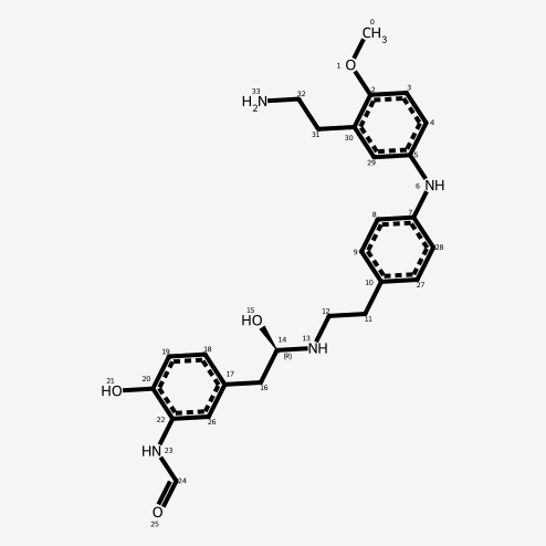 COc1ccc(Nc2ccc(CCN[C@H](O)Cc3ccc(O)c(NC=O)c3)cc2)cc1CCN